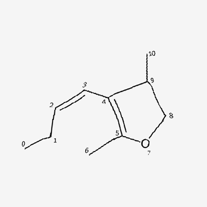 CC/C=C\C1=C(C)OCC1C